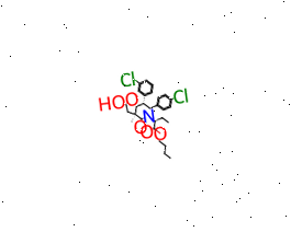 CCCCOC(=O)[C@H](CC)N1C(=O)[C@@](C)(CC(=O)O)C[C@H](c2cccc(Cl)c2)[C@H]1c1ccc(Cl)cc1